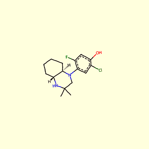 CC1(C)CN(c2cc(Cl)c(O)cc2F)[C@@H]2CCCC[C@H]2N1